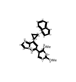 COc1ncc(-c2cc([C@H]3C[C@@H]3c3cccc4ccccc34)c3nccn3n2)c(OC)n1